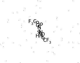 O=C(Nc1ccc(C(F)(F)F)cc1)c1csc(C2CCN(C(=O)c3ccccc3-c3ccc(C(F)(F)F)cc3)CC2)n1